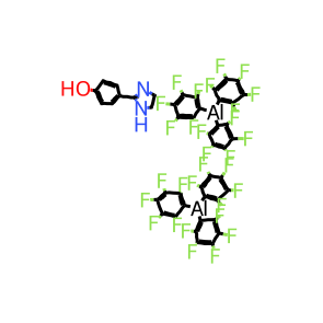 Fc1c(F)c(F)[c]([Al]([c]2c(F)c(F)c(F)c(F)c2F)[c]2c(F)c(F)c(F)c(F)c2F)c(F)c1F.Fc1c(F)c(F)[c]([Al]([c]2c(F)c(F)c(F)c(F)c2F)[c]2c(F)c(F)c(F)c(F)c2F)c(F)c1F.Oc1ccc(C2=NCCN2)cc1